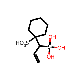 C=CC(C1(S(=O)(=O)O)CCCCC1)[Si](O)(O)O